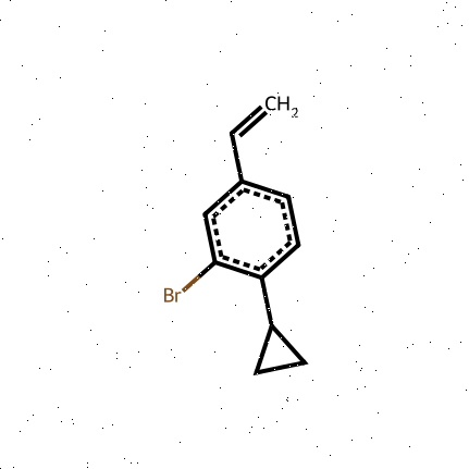 C=Cc1ccc(C2CC2)c(Br)c1